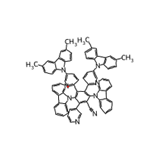 Cc1ccc2c(c1)c1cc(C)ccc1n2-c1ccc(-c2c(-c3ccc(-n4c5ccc(C)cc5c5cc(C)ccc54)cc3)c(-n3c4ccccc4c4cccnc43)c(-c3cccnc3)c(C#N)c2-n2c3ccccc3c3cccnc32)cc1